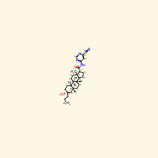 CCC[C@@]1(O)CC[C@H]2[C@H](CC[C@@H]3[C@@H]2CC[C@]2(C)[C@@H](C(=O)Nc4cc(C#N)ncn4)CC[C@@H]32)C1